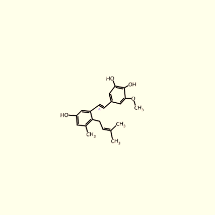 COc1cc(/C=C/c2cc(O)cc(C)c2CC=C(C)C)cc(O)c1O